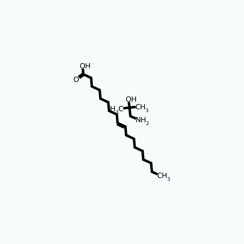 CC(C)(O)CN.CCCCCCCCC=CCCCCCCCC(=O)O